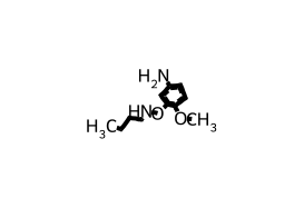 CCCCNOc1cc(N)ccc1OC